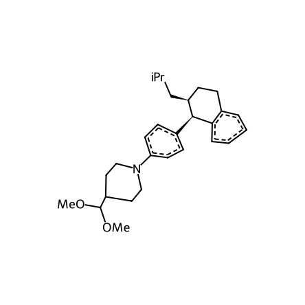 COC(OC)C1CCN(c2ccc([C@@H]3c4ccccc4CC[C@@H]3CC(C)C)cc2)CC1